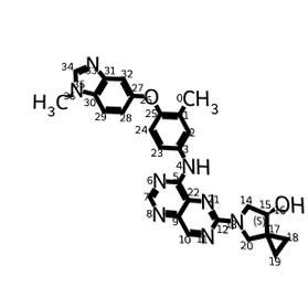 Cc1cc(Nc2ncnc3cnc(N4C[C@@H](O)C5(CC5)C4)nc23)ccc1Oc1ccc2c(c1)ncn2C